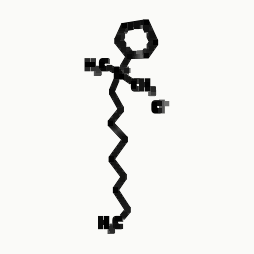 CCCCCCCCC[N+](C)(C)c1ccccc1.[Cl-]